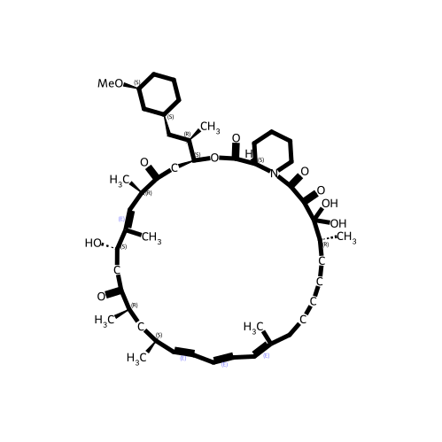 CO[C@H]1CCC[C@@H](C[C@@H](C)[C@@H]2CC(=O)[C@H](C)/C=C(\C)[C@@H](O)CC(=O)[C@H](C)C[C@H](C)/C=C/C=C/C=C(\C)CCCCC[C@@H](C)C(O)(O)C(=O)C(=O)N3CCCC[C@H]3C(=O)O2)C1